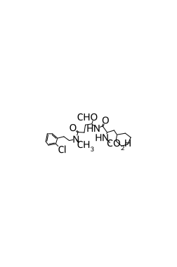 CN(CCc1ccccc1Cl)C(=O)CCC(C=O)NC(=O)C(CC1CCCCC1)NC(=O)O